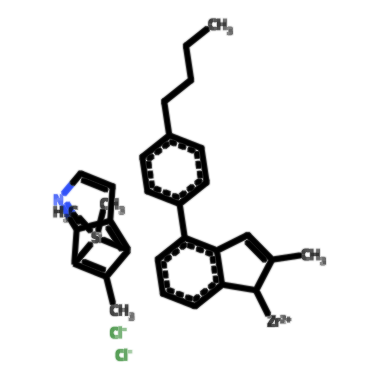 CC1=C2C3=NC=CC3=C1[Si]2(C)C.CCCCc1ccc(-c2cccc3c2C=C(C)[CH]3[Zr+2])cc1.[Cl-].[Cl-]